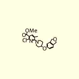 COC(=O)c1cc(C)c(N2CCC(Oc3ccc4c(c3)COC4)CC2)nc1Cl